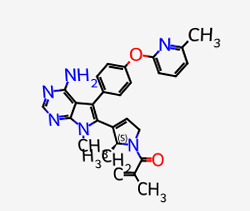 C=C(C)C(=O)N1CC=C(c2c(-c3ccc(Oc4cccc(C)n4)cc3)c3c(N)ncnc3n2C)[C@@H]1C